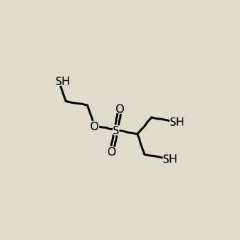 O=S(=O)(OCCS)C(CS)CS